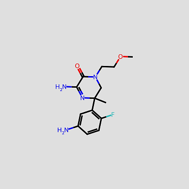 COCCN1CC(C)(c2cc(N)ccc2F)N=C(N)C1=O